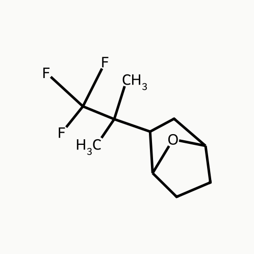 CC(C)(C1CC2CCC1O2)C(F)(F)F